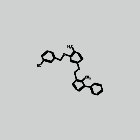 Cc1ccc(OCc2cccc(-c3ccccc3)c2C)cc1OCc1cccc(C#N)c1